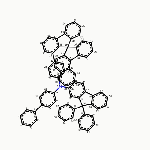 c1ccc(-c2ccc(N(c3ccc(-c4cccc5c4C4(c6ccccc6-5)c5ccccc5-c5c4ccc4ccccc54)cc3)c3ccc4c(c3)C(c3ccccc3)(c3ccccc3)c3ccccc3-4)cc2)cc1